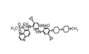 COc1cc(N2CCC(N3CCN(C)CC3)CC2)c(C2CC2)cc1Nc1ncc(C2CC2)c(Nc2ccc3nccnc3c2N(C)S(C)(=O)=O)n1